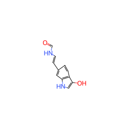 O=CNC=Cc1ccc2c(O)c[nH]c2c1